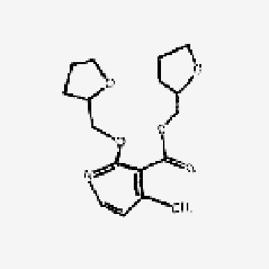 Cc1ccnc(OCC2CCCO2)c1C(=O)OCC1CCCO1